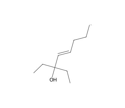 [CH2]CCC=CC(O)(CC)CC